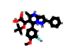 COc1ccc(-c2c(C(OC(C)(C)C)C(=O)O)c(C)nc3cc(-c4ccccc4)nn23)cc1F